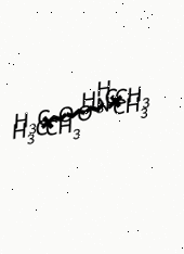 CC(C)(C)CCOCCOCCNCC(C)(C)C